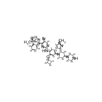 Cn1cc(-c2cc(Nc3ncc(Br)c(Nc4ccccc4P(C)(C)=O)n3)c(OC3CCC3)cc2N2CCC(N3CCNCC3)CC2)cn1